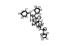 O=C(C[N+]12CCC(CC1)[C@@H](OC(=O)C(NCc1ccccc1)c1ccccc1)C2)c1cccs1